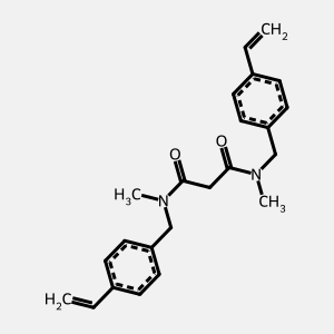 C=Cc1ccc(CN(C)C(=O)CC(=O)N(C)Cc2ccc(C=C)cc2)cc1